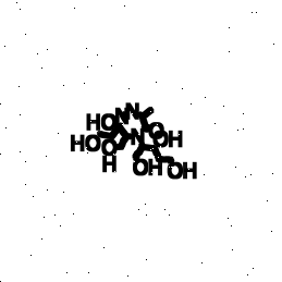 CC1N=NC(O)(CCO)C(CO)N(C(CO)C(O)CCO)C1=O